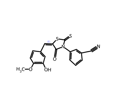 COc1ccc(/C=C2/SC(=S)N(c3cccc(C#N)c3)C2=O)cc1O